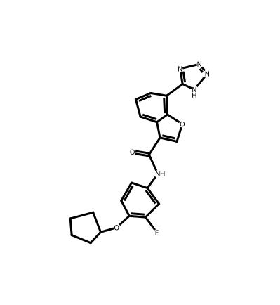 O=C(Nc1ccc(OC2CCCC2)c(F)c1)c1coc2c(-c3nnn[nH]3)cccc12